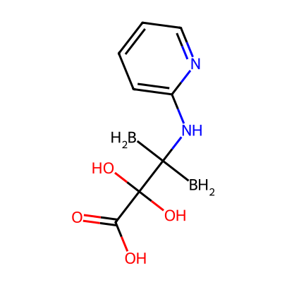 BC(B)(Nc1ccccn1)C(O)(O)C(=O)O